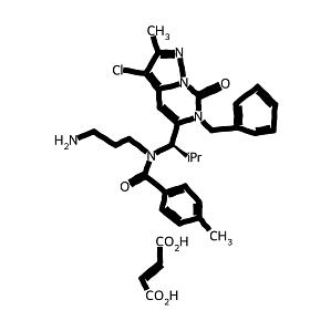 Cc1ccc(C(=O)N(CCCN)[C@@H](c2cc3c(Cl)c(C)nn3c(=O)n2Cc2ccccc2)C(C)C)cc1.O=C(O)C=CC(=O)O